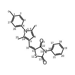 Cc1ccc(-n2c(C)cc(C=C3SC(=O)N(c4ccccc4)C3=O)c2C)cc1